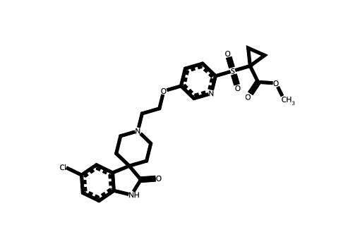 COC(=O)C1(S(=O)(=O)c2ccc(OCCN3CCC4(CC3)C(=O)Nc3ccc(Cl)cc34)cn2)CC1